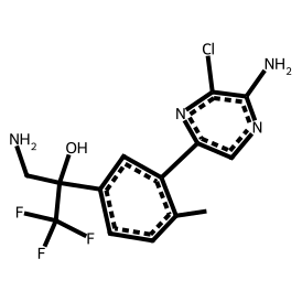 Cc1ccc(C(O)(CN)C(F)(F)F)cc1-c1cnc(N)c(Cl)n1